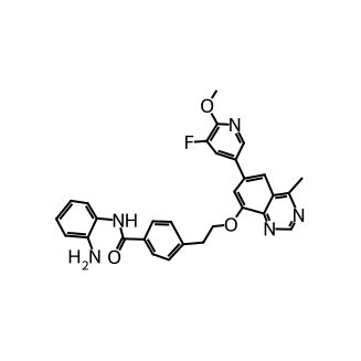 COc1ncc(-c2cc(OCCc3ccc(C(=O)Nc4ccccc4N)cc3)c3ncnc(C)c3c2)cc1F